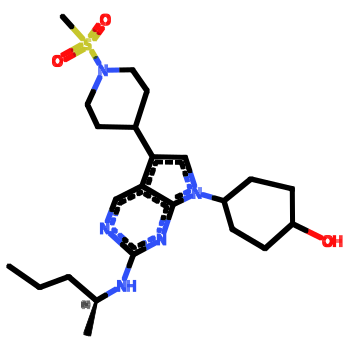 CCC[C@H](C)Nc1ncc2c(C3CCN(S(C)(=O)=O)CC3)cn(C3CCC(O)CC3)c2n1